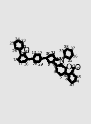 O=c1oc2c(ccc3c4cc(-c5ccc(-c6cccc7c6oc6ccccc67)cc5)ccc4n(-c4ccccc4)c32)c2ccccc12